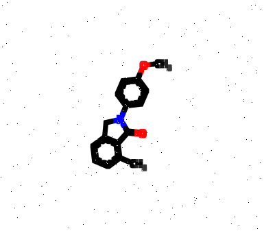 COc1ccc(N2Cc3cccc(C)c3C2=O)cc1